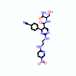 N#Cc1ccc(-c2nc(NCCNc3ccc([N+](=O)[O-])cn3)ncc2C(=O)NC(CO)C(N)=O)cc1